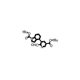 CC(C)(C)OC(=O)c1cnc(C=O)c(-c2cccc3c2ccn3C(=O)OC(C)(C)C)c1